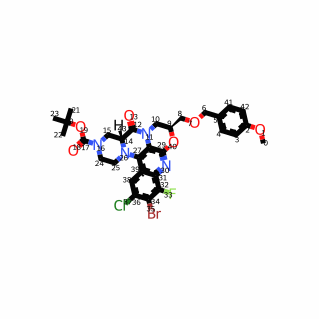 COc1ccc(COC[C@@H]2CN3C(=O)[C@H]4CN(C(=O)OC(C)(C)C)CCN4c4c3c(nc3c(F)c(Br)c(Cl)cc43)O2)cc1